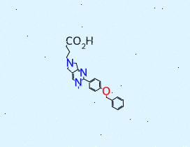 CN1C=C2CN(CCCC(=O)O)CC2=NC1c1ccc(OCc2ccccc2)cc1